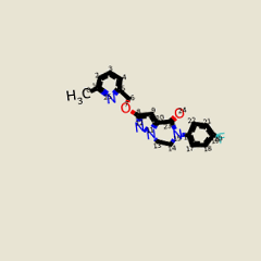 Cc1cccc(COc2cc3n(n2)CCN(c2ccc(F)cc2)C3=O)n1